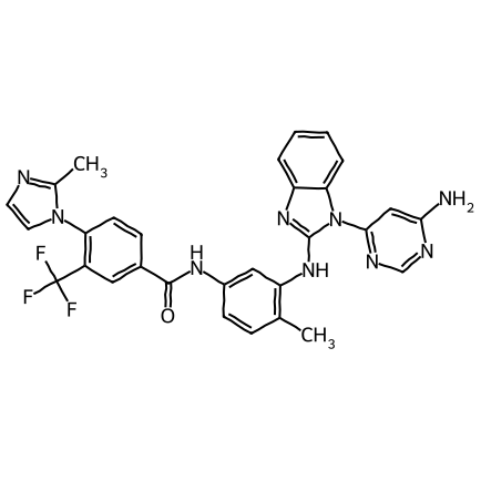 Cc1ccc(NC(=O)c2ccc(-n3ccnc3C)c(C(F)(F)F)c2)cc1Nc1nc2ccccc2n1-c1cc(N)ncn1